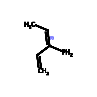 C=C/C(P)=C\C